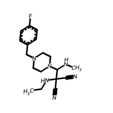 CCNC(C#N)(C#N)C(NC)N1CCN(Cc2ccc(F)cc2)CC1